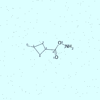 CC1CC(C(=O)ON)C1